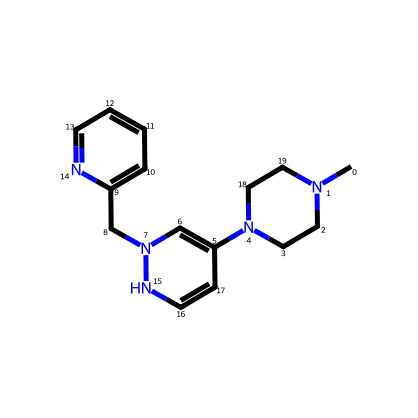 CN1CCN(C2=CN(Cc3ccccn3)NC=C2)CC1